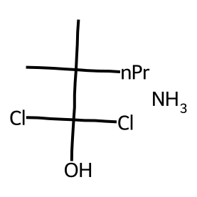 CCCC(C)(C)C(O)(Cl)Cl.N